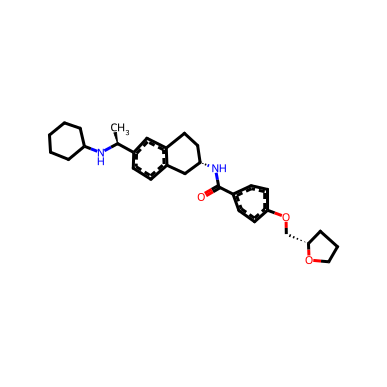 C[C@H](NC1CCCCC1)c1ccc2c(c1)CC[C@H](NC(=O)c1ccc(OC[C@@H]3CCCO3)cc1)C2